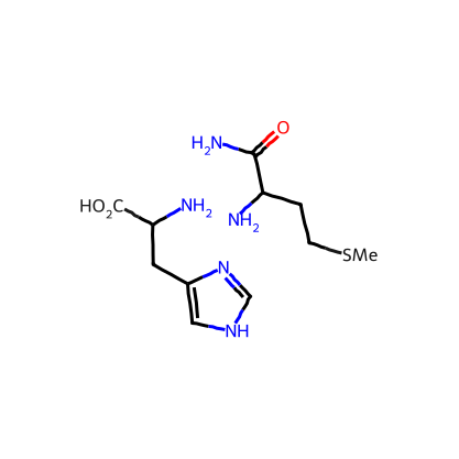 CSCCC(N)C(N)=O.NC(Cc1c[nH]cn1)C(=O)O